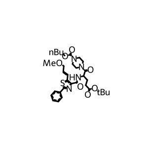 CCCCOC(=O)N1CCN(C(=O)C(CCC(=O)OC(C)(C)C)NC(=O)c2nc(-c3ccccc3)sc2C=CCOC)CC1